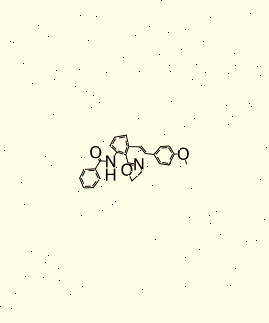 COc1ccc(C=Cc2cccc(NC(=O)c3ccccc3)c2C2=NCCO2)cc1